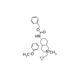 COc1cccc([C@@]23CC[N@+](C)(CC4CC4)CC2CC[C@@H](NC(=O)OCc2ccccc2)C3)c1